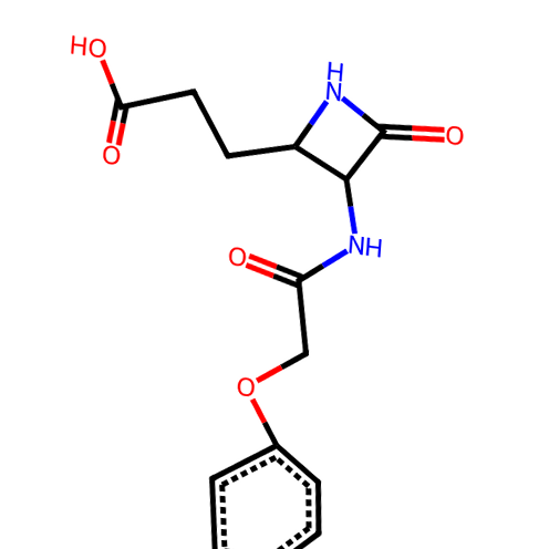 O=C(O)CCC1NC(=O)C1NC(=O)COc1ccccc1